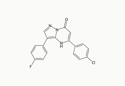 O=c1cc(-c2ccc(Cl)cc2)[nH]c2c(-c3ccc(F)cc3)cnn12